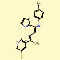 C/C(=C\C=C(\Nc1ccc(C)cc1)C1=NC=CC1)c1cncc(F)c1